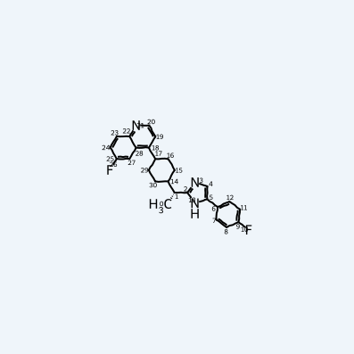 C[C@@H](c1ncc(-c2ccc(F)cc2)[nH]1)C1CCC(c2ccnc3ccc(F)cc23)CC1